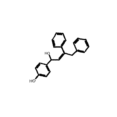 Oc1ccc(C(O)/C=C(/Cc2ccccc2)c2ccccc2)cc1